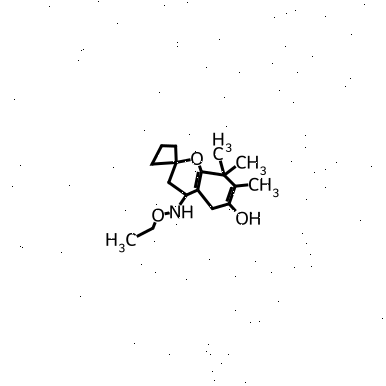 CCONC1CC2(CCC2)OC2=C1CC(O)=C(C)C2(C)C